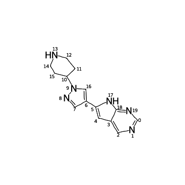 c1ncc2cc(-c3cnn(C4CCNCC4)c3)[nH]c2n1